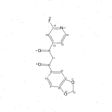 O=C(CC(=O)c1ccc2c(c1)OCO2)c1ccnc(F)c1